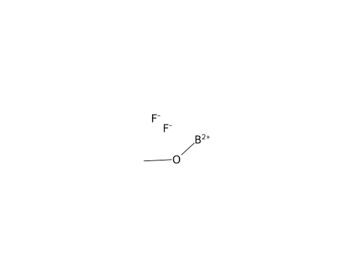 [B+2]OC.[F-].[F-]